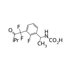 CC(C)C(=O)C(F)(F)c1cccc(C(C)NC(=O)O)c1F